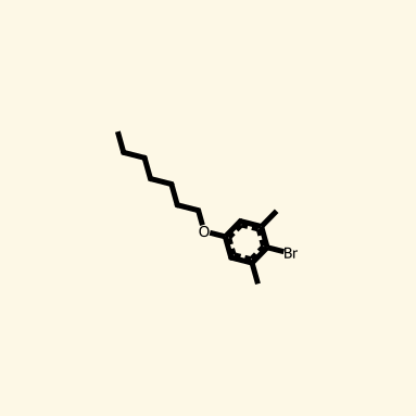 CCCCCCCOc1cc(C)c(Br)c(C)c1